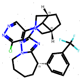 FC(F)(F)c1cccc([C@@H]2CCCCn3nc(NC4[C@@H]5CC[C@H]4CN(c4cnnc(Cl)c4)C5)nc32)c1